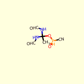 CC(NC=O)(NC=O)O[PH](=O)C#N